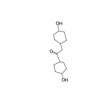 O=C(CC1CCC(O)CC1)C1CCC(O)CC1